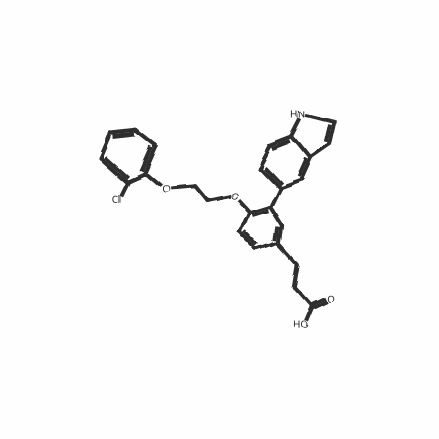 O=C(O)CCc1ccc(OCCOc2ccccc2Cl)c(-c2ccc3[nH]ccc3c2)c1